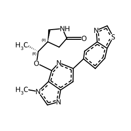 C[C@@H](Oc1nc(-c2ccc3scnc3c2)cc2ncn(C)c12)[C@H]1CNC(=O)C1